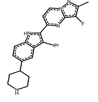 Cc1nn2ccc(-c3[nH]c4ccc(C5CCNCC5)cc4c3C(C)C)nc2c1F